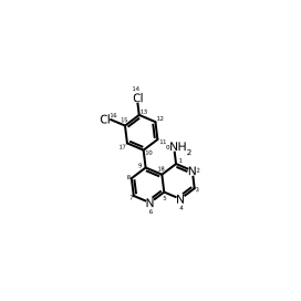 Nc1ncnc2nccc(-c3ccc(Cl)c(Cl)c3)c12